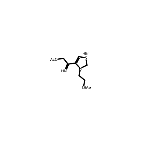 Br.COCCN1CSC=C1C(=N)COC(C)=O